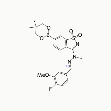 COc1cc(/C=N/N(C)C2=NS(=O)(=O)c3cc(B4OCC(C)(C)CO4)ccc32)ccc1F